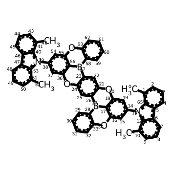 Cc1cccc2c3cccc(C)c3n(-c3cc4c5c(c3)Oc3cc6c(cc3B5c3ccccc3O4)Oc3cc(-n4c5c(C)cccc5c5cccc(C)c54)cc4c3B6c3ccccc3O4)c12